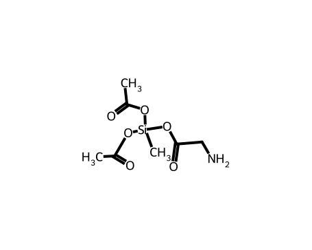 CC(=O)O[Si](C)(OC(C)=O)OC(=O)CN